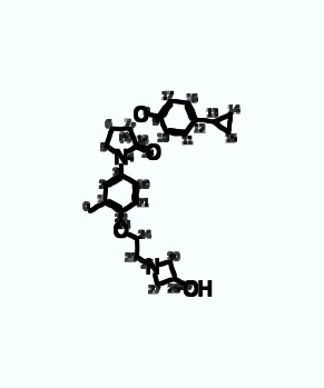 Cc1cc(N2CC[C@H](Oc3ccc(C4CC4)cc3)C2=O)ccc1OCCN1CC(O)C1